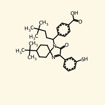 CC(C)(C)CCC(c1ccc(C(=O)O)cc1)N1C(=O)C(c2cccc(S)c2)=NC12CCC(C(C)(C)C)CC2